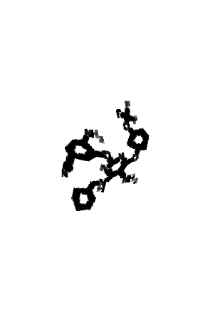 N#Cc1ccc(N)c(Oc2nc(NCc3ccccc3)c(N)c(Oc3cccc(OC(F)(F)F)c3)n2)c1